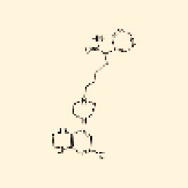 O=C1Nc2ccccc2C1CCCCN1CCN(c2cc(Cl)cc3c2OCCO3)CC1